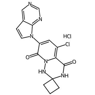 Cl.O=C1NC2(CCC2)Nn2c1c(Cl)cc(-n1ccc3cncnc31)c2=O